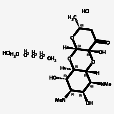 CN[C@@H]1[C@H](O)[C@H](NC)[C@H]2O[C@@]3(O)C(=O)C[C@@H](C)O[C@H]3O[C@@H]2[C@H]1O.Cl.Cl.O.O.O.O.O